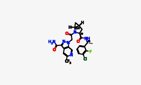 C[C@@H](NC(=O)[C@@H]1C[C@H]2C[C@H]2N1C(=O)Cn1nc(C(N)=O)c2cc(C(F)(F)F)ncc21)c1cccc(Cl)c1F